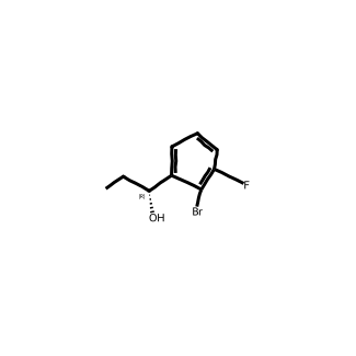 CC[C@@H](O)c1cccc(F)c1Br